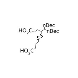 CCCCCCCCCCC(CCCCCCCCCC)C(CCC(=O)O)SSCCCC(=O)O